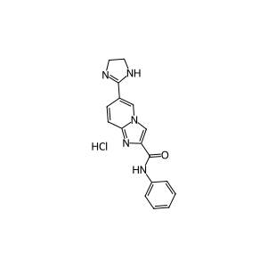 Cl.O=C(Nc1ccccc1)c1cn2cc(C3=NCCN3)ccc2n1